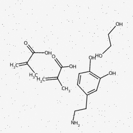 C=C(C)C(=O)O.C=C(C)C(=O)O.NCCc1ccc(O)c(O)c1.OCCO